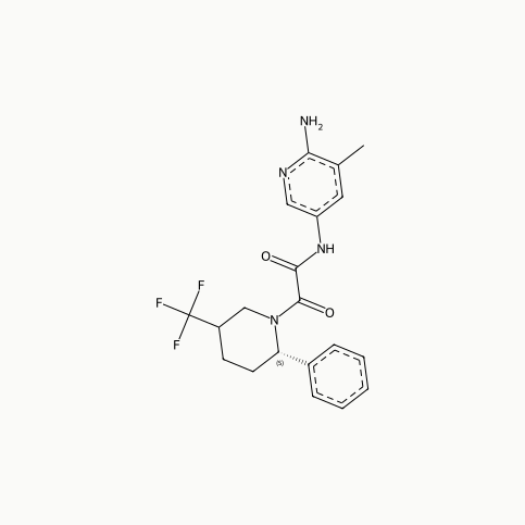 Cc1cc(NC(=O)C(=O)N2CC(C(F)(F)F)CC[C@H]2c2ccccc2)cnc1N